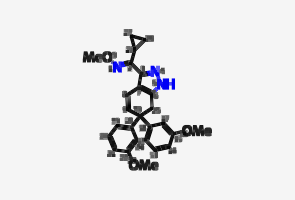 CON=C(c1n[nH]c2c1C=CC(c1cccc(OC)c1)(c1cccc(OC)c1)C2)C1CC1